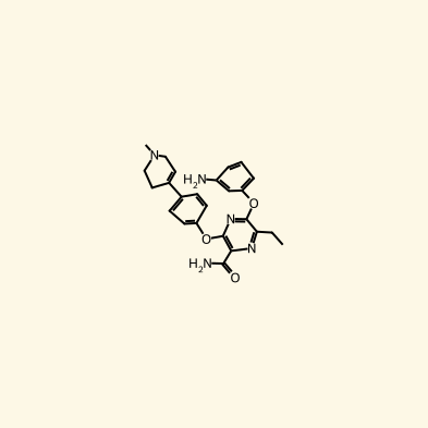 CCc1nc(C(N)=O)c(Oc2ccc(C3=CCN(C)CC3)cc2)nc1Oc1cccc(N)c1